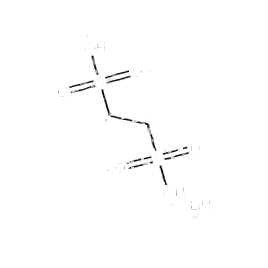 O=S(=O)(O)CCS(=O)(=O)O.[LiH]